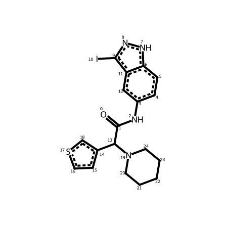 O=C(Nc1ccc2[nH]nc(I)c2c1)C(c1ccsc1)N1CCCCC1